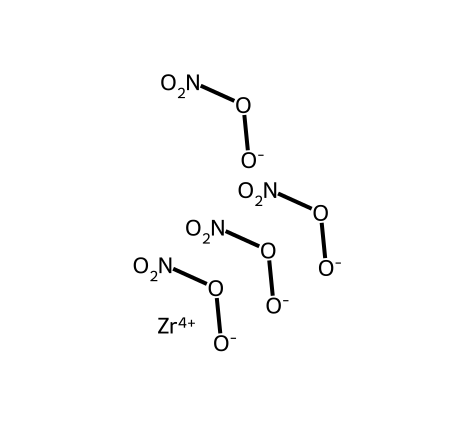 O=[N+]([O-])O[O-].O=[N+]([O-])O[O-].O=[N+]([O-])O[O-].O=[N+]([O-])O[O-].[Zr+4]